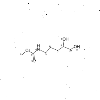 COC(=O)NCCCC(O)CO